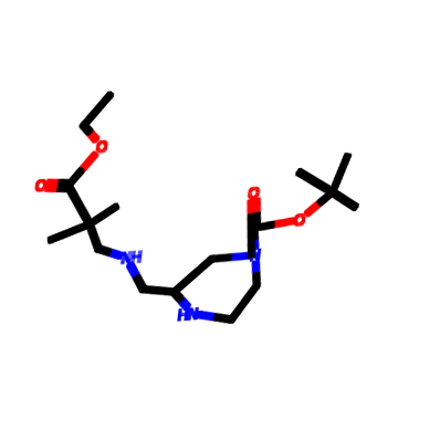 CCOC(=O)C(C)(C)CNCC1CN(C(=O)OC(C)(C)C)CCN1